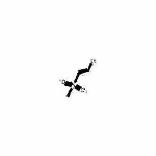 [CH2]C/C=C/S(C)(=O)=O